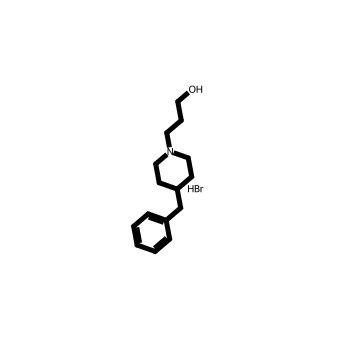 Br.OCCCN1CCC(Cc2ccccc2)CC1